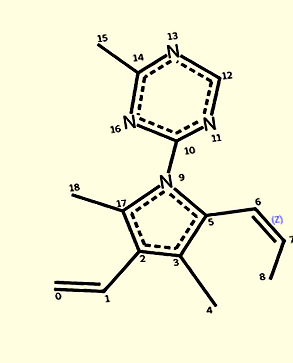 C=Cc1c(C)c(/C=C\C)n(-c2ncnc(C)n2)c1C